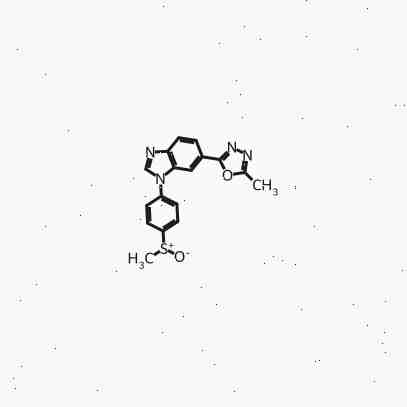 Cc1nnc(-c2ccc3ncn(-c4ccc([S+](C)[O-])cc4)c3c2)o1